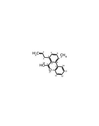 C.C=CCc1cccc(-c2ccccc2)c1C(=O)O